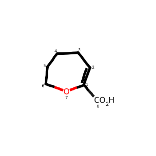 O=C(O)C1=CCCCCO1